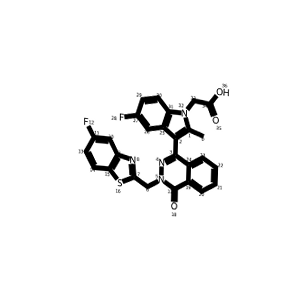 Cc1c(-c2nn(Cc3nc4cc(F)ccc4s3)c(=O)c3ccccc23)c2cc(F)ccc2n1CC(=O)O